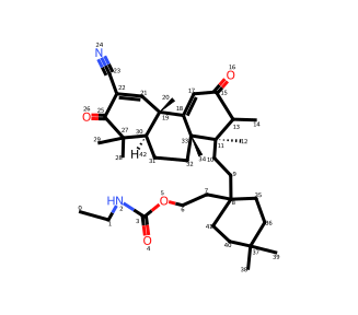 CCNC(=O)OCCC1(CC[C@]2(C)C(C)C(=O)C=C3[C@@]4(C)C=C(C#N)C(=O)C(C)(C)[C@@H]4CC[C@]32C)CCC(C)(C)CC1